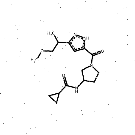 COCC(C)c1cc(C(=O)N2CCC(NC(=O)C3CC3)C2)[nH]n1